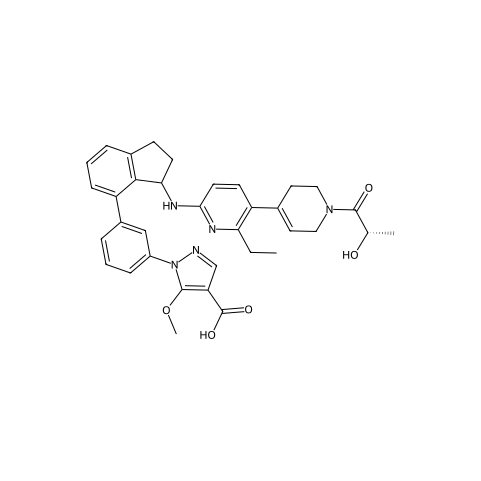 CCc1nc(NC2CCc3cccc(-c4cccc(-n5ncc(C(=O)O)c5OC)c4)c32)ccc1C1=CCN(C(=O)[C@H](C)O)CC1